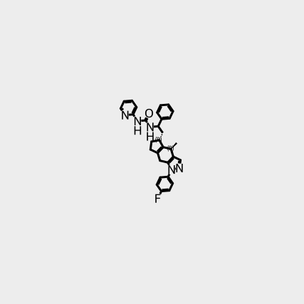 C[C@@H]1C2=C(CC[C@@H]2CC(NC(=O)Nc2ccccn2)c2ccccc2)Cc2c1cnn2-c1ccc(F)cc1